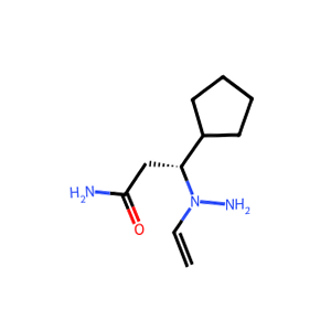 C=CN(N)[C@H](CC(N)=O)C1CCCC1